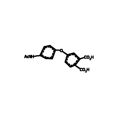 CC(=O)Nc1ccc(Oc2ccc(C(=O)O)c(C(=O)O)c2)cc1